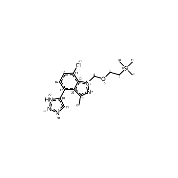 Cc1nn(COCC[Si](C)(C)C)c2c(Cl)ccc(-c3cnn[nH]3)c12